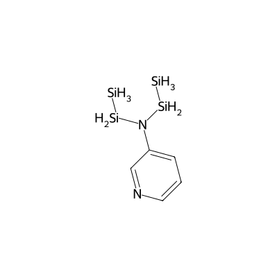 [SiH3][SiH2]N([SiH2][SiH3])c1cccnc1